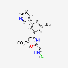 CCOC(=O)C[C@H](NC(=O)CNCl)c1cc(-c2cccnc2)cc(C(C)(C)C)c1